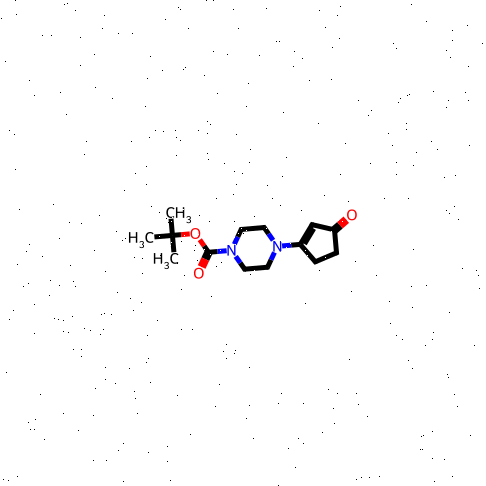 CC(C)(C)OC(=O)N1CCN(C2=CC(=O)CC2)CC1